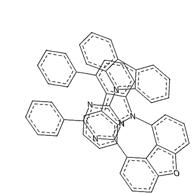 c1ccc(-c2nc(-c3cccc4oc5cccc(-n6c7ccccc7c7c(-c8ccccc8)cccc76)c5c34)nc(-n3c4ccccc4c4ccccc43)n2)cc1